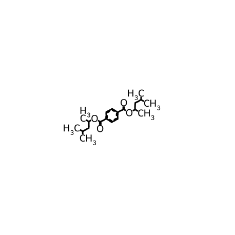 CC(C)CC(C)OC(=O)c1ccc(C(=O)OC(C)CC(C)C)cc1